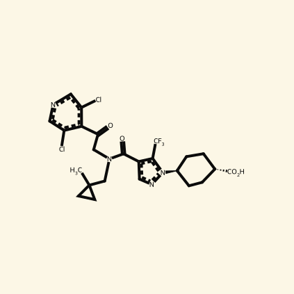 CC1(CN(CC(=O)c2c(Cl)cncc2Cl)C(=O)c2cnn([C@H]3CC[C@H](C(=O)O)CC3)c2C(F)(F)F)CC1